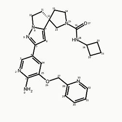 Nc1ncc(-c2cc3n(n2)CC[C@@]32CCN(C(=O)NC3CCC3)C2)cc1OCc1ccccn1